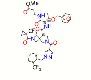 COC(=O)CCNC(=O)[C@@H](NC(=O)[C@@H]1CN(C(=O)c2cnn(Cc3ccccc3C(F)(F)F)c2)CC12CN(C(=O)C1(C(F)(F)F)CC1)C2)[C@@H](C)OCC12CCC(CC1)OC2